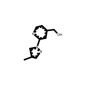 Cc1cnn(-c2cc(CO)ccn2)c1